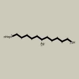 CCCCCCCCCCCCCCCCCCS.[Ag]